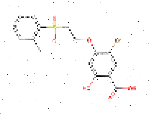 Cc1ccccc1S(=O)(=O)CCOc1cc(O)c(C(=O)O)cc1Br